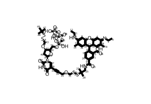 CC/N=C1/C=C2Oc3cc(NCC)c(C)cc3C(c3ccc(C(=O)NCC(C)(C)SSCOCC#Cc4cn([C@H]5C[C@@H](OCSSC(C)(C)C)C(COP(=O)(O)OP(=O)(O)OP(=O)(O)O)O5)c(=O)[nH]c4=O)cc3C(=O)O)C2C=C1C